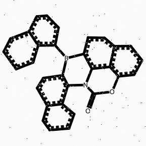 O=C1Oc2cccc3ccc4c(c23)N1c1c(ccc2ccccc12)B4c1cccc2ccccc12